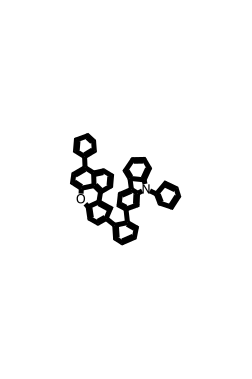 c1ccc(-c2ccc3c4c(cccc24)-c2cc(-c4ccccc4-c4ccc5c6ccccc6n(-c6ccccc6)c5c4)ccc2O3)cc1